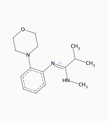 CN/C(=N\c1ccccc1N1CCOCC1)C(C)C